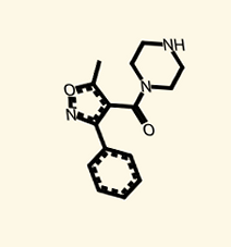 Cc1onc(-c2ccccc2)c1C(=O)N1CCNCC1